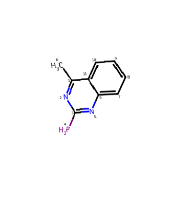 Cc1nc(P)nc2ccccc12